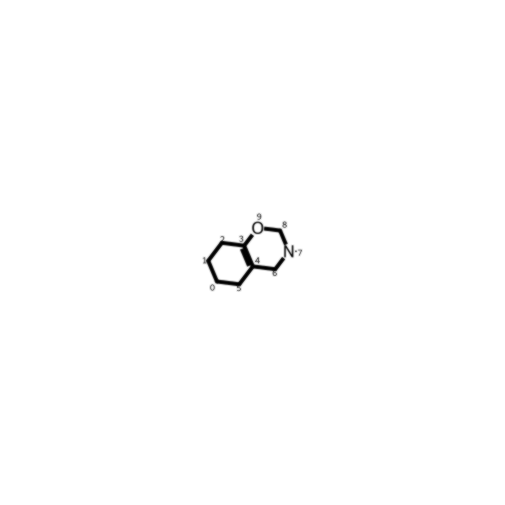 C1CCC2=C(C1)C[N]CO2